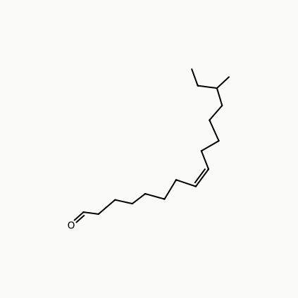 CCC(C)CCCC/C=C\CCCCCCC=O